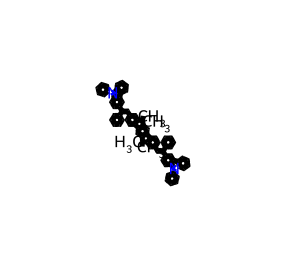 CC1(C)c2cc(/C=C(\c3ccccc3)c3ccc4c(c3)c3ccccc3n4-c3ccccc3)ccc2-c2cc3c(cc21)-c1ccc(/C=C(\c2ccccc2)c2ccc4c(c2)c2ccccc2n4-c2ccccc2)cc1C3(C)C